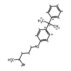 CC(Br)CCCOc1ccc(C(C)(C)c2ccccc2)cc1